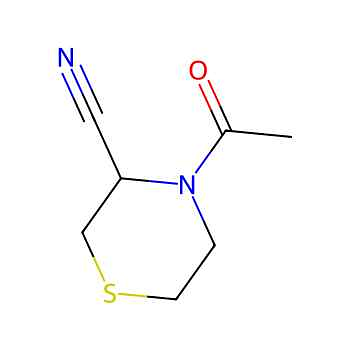 CC(=O)N1CCSCC1C#N